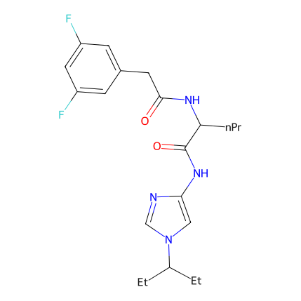 CCCC(NC(=O)Cc1cc(F)cc(F)c1)C(=O)Nc1cn(C(CC)CC)cn1